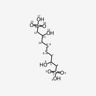 O=S(=O)(O)CC(O)CSSCC(O)CS(=O)(=O)O